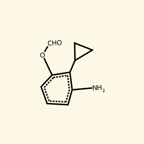 Nc1cccc(OC=O)c1C1CC1